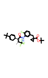 C[C@H]([C@H](C(=O)Nc1cc(CC2(C(=O)OC(C)(C)C)CC2)ccc1F)C1C=CC(C(C)(C)C)=CC1)C(F)(F)F